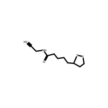 C#CCNC(=O)CCCCC1CCSS1